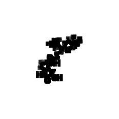 Cn1cc(C(=CC=CC(=O)Nc2cccc3c2CC(O)C(=O)N3)c2ccc(C(F)(F)F)cc2)cn1